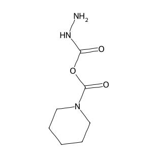 NNC(=O)OC(=O)N1CCCCC1